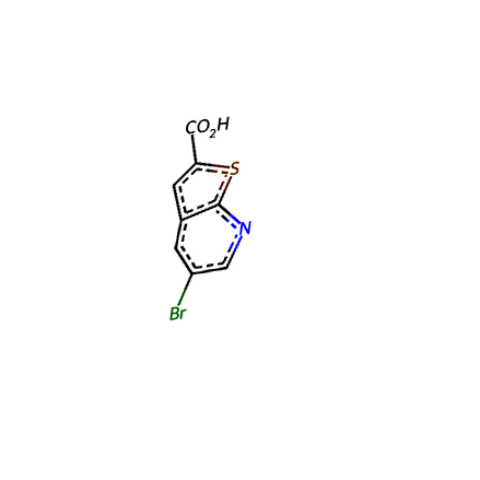 O=C(O)c1cc2cc(Br)cnc2s1